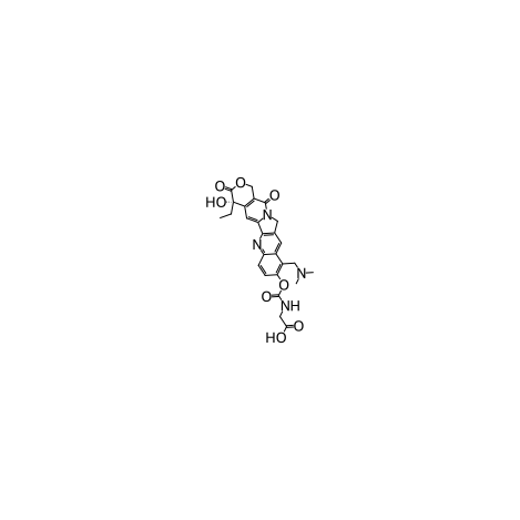 CC[C@@]1(O)C(=O)OCc2c1cc1n(c2=O)Cc2cc3c(CN(C)C)c(OC(=O)NCC(=O)O)ccc3nc2-1